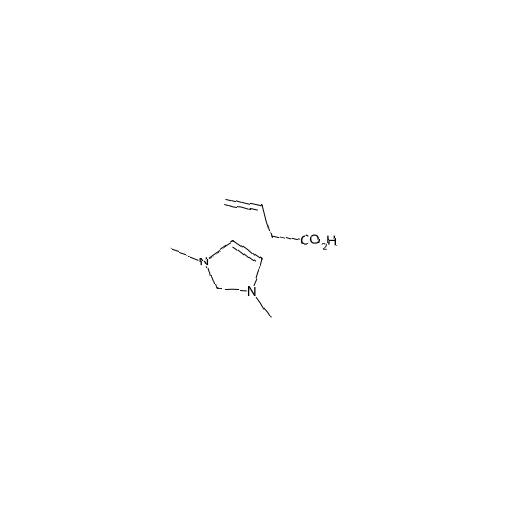 C=CCC(=O)O.CN1C=CN(C)C1